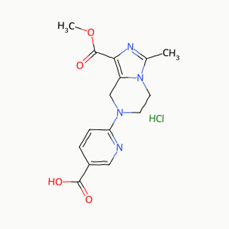 COC(=O)c1nc(C)n2c1CN(c1ccc(C(=O)O)cn1)CC2.Cl